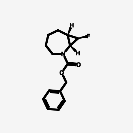 O=C(OCc1ccccc1)N1CCCC[C@@H]2[C@@H](F)[C@@H]21